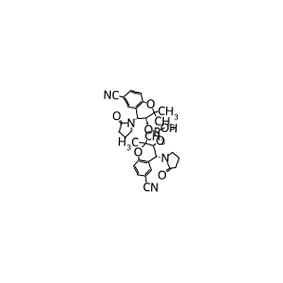 CC1(C)Oc2ccc(C#N)cc2[C@@H](N2CCCC2=O)[C@@H]1OP(O)O[C@H]1[C@H](N2CCCC2=O)c2cc(C#N)ccc2OC1(C)C